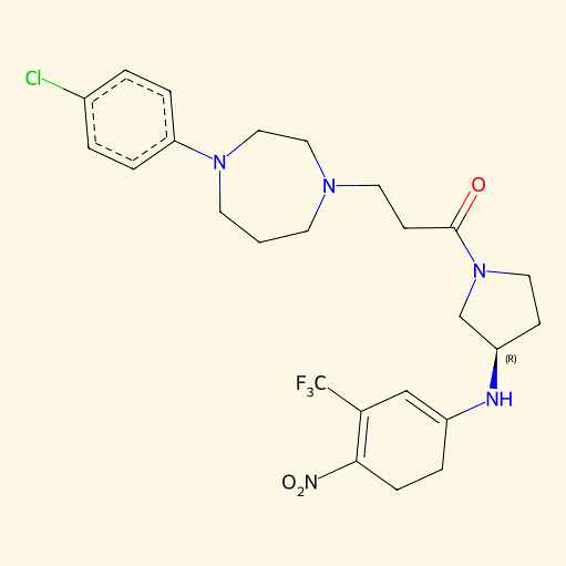 O=C(CCN1CCCN(c2ccc(Cl)cc2)CC1)N1CC[C@@H](NC2=CC(C(F)(F)F)=C([N+](=O)[O-])CC2)C1